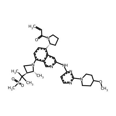 C=CC(=O)N1CCC[C@@H]1c1ccc(N2C[C@H](C(C)(C)S(C)(=O)=O)[C@H]2C)c2cnc(Nc3ccnc(N4CCC(OC)CC4)n3)cc12